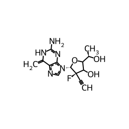 C#C[C@@]1(F)C(O)C([C@@H](C)O)O[C@H]1n1cnc2c1N=C(N)NC2=C